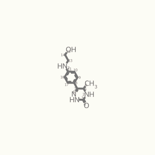 CC1NC(=O)NN=C1c1ccc(NCCO)cc1